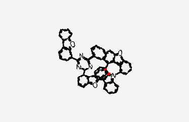 c1ccc(-c2nc(-c3cccc4c3oc3ccccc34)nc(-c3cccc4oc5ccc(-c6cccc7oc8cccc(-n9c%10ccccc%10c%10ccccc%109)c8c67)cc5c34)n2)cc1